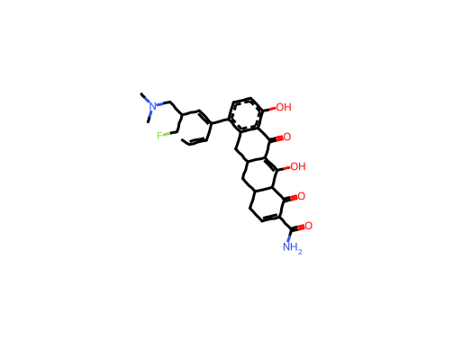 C/C=C\C(=C/C(CF)CN(C)C)c1ccc(O)c2c1CC1CC3CC=C(C(N)=O)C(=O)C3C(O)=C1C2=O